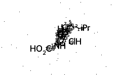 CC(C)CCC[C@@H](C)[C@H]1CC[C@H]2[C@@H]3CC=C4C[C@@H](NCCC(=O)O)CC[C@]4(C)[C@H]3CC[C@]12C.Cl